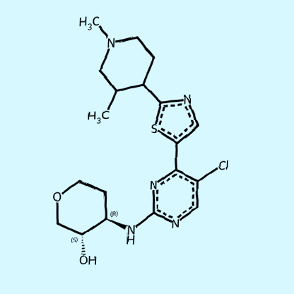 CC1CN(C)CCC1c1ncc(-c2nc(N[C@@H]3CCOC[C@H]3O)ncc2Cl)s1